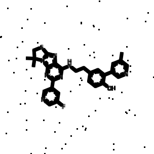 Cc1cncc(-c2cc(CCNc3nc(-c4cncc(F)c4)nc4c3nc3n4C(C)(C)CS3)ccc2O)c1